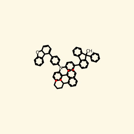 CC1(c2ccccc2)c2ccccc2-c2c(-c3ccc(N(c4ccc(C5=CC=CC6Oc7ccccc7C56)cc4)c4ccccc4-c4cccc5cccc(C6CCCCC6)c45)cc3)cccc21